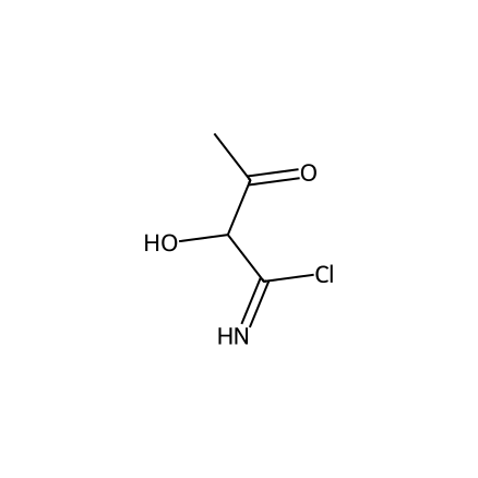 CC(=O)C(O)C(=N)Cl